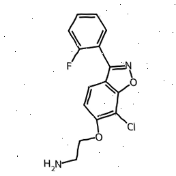 NCCOc1ccc2c(-c3ccccc3F)noc2c1Cl